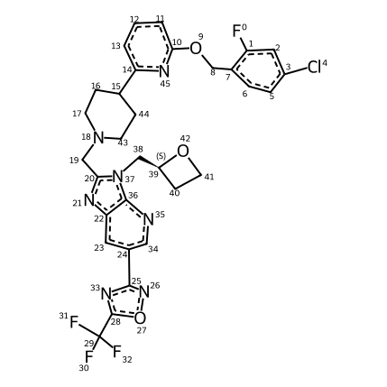 Fc1cc(Cl)ccc1COc1cccc(C2CCN(Cc3nc4cc(-c5noc(C(F)(F)F)n5)cnc4n3C[C@@H]3CCO3)CC2)n1